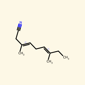 CC/C(C)=C/C/C=C(\C)CC#N